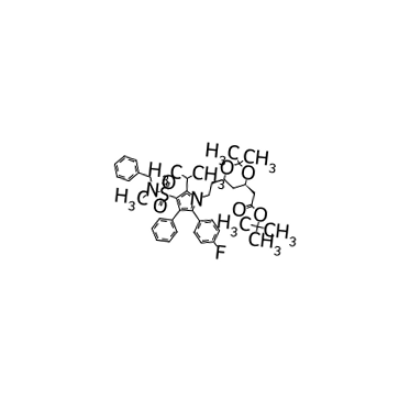 CC(C)c1c(S(=O)(=O)N(C)Cc2ccccc2)c(-c2ccccc2)c(-c2ccc(F)cc2)n1CC[C@@H]1C[C@H](CC(=O)OC(C)(C)C)OC(C)(C)O1